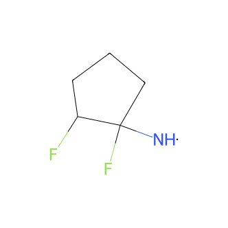 [NH]C1(F)CCCC1F